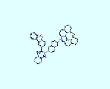 c1ccc2nc(-c3ccc4sc5ccccc5c4c3)c(-c3ccc4cc(-n5c6ccc7cccc8sc9cccc%10ccc5c(c%109)c6c78)ccc4c3)nc2c1